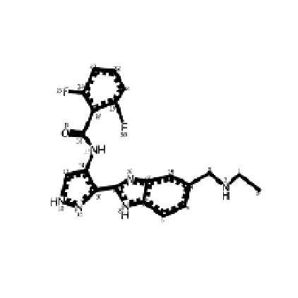 CCNCc1ccc2[nH]c(-c3n[nH]cc3NC(=O)c3c(F)cccc3F)nc2c1